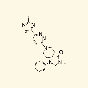 Cc1nsc(-c2ccc(N3CCC4(CC3)C(=O)N(C)CN4c3ccccc3)nn2)n1